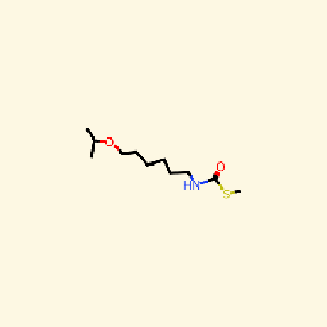 CSC(=O)NCCCCCCOC(C)C